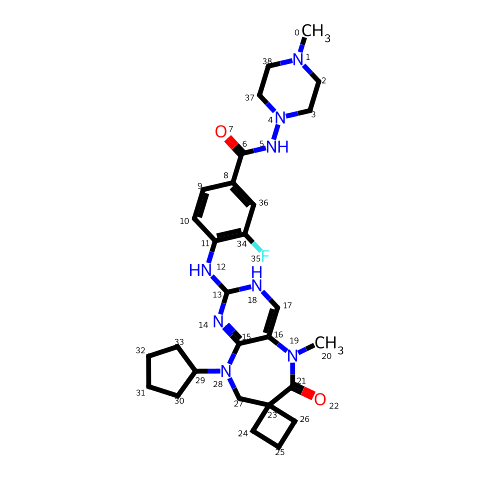 CN1CCN(NC(=O)c2ccc(NC3N=C4C(=CN3)N(C)C(=O)C3(CCC3)CN4C3CCCC3)c(F)c2)CC1